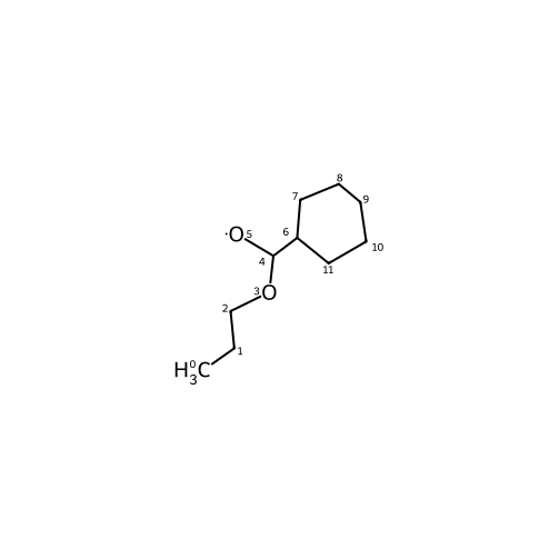 CCCOC([O])C1CCCCC1